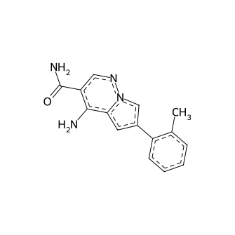 Cc1ccccc1-c1cc2c(N)c(C(N)=O)cnn2c1